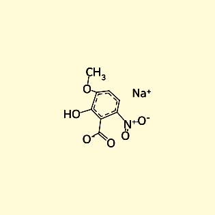 COc1ccc([N+](=O)[O-])c(C(=O)[O-])c1O.[Na+]